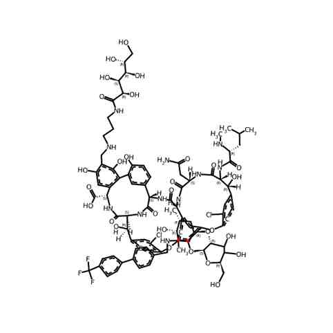 CN[C@H](CC(C)C)C(=O)N[C@H]1C(=O)N[C@@H](CC(N)=O)C(=O)N[C@H]2C(=O)N[C@@H]3C(=O)N[C@H](C(=O)N[C@H](C(=O)O)c4cc(O)c(CNCCCNC(=O)[C@H](O)[C@@H](O)[C@H](O)[C@H](O)CO)c(O)c4-c4cc3ccc4O)[C@H](O)c3ccc(c(Cl)c3)Oc3cc2cc(c3O[C@@H]2O[C@H](CO)C(O)C(O)[C@H]2O[C@@H]2C[C@@H](C)[C@@H](O)C(C)(NCc3ccc(-c4ccc(C(F)(F)F)cc4)cc3)C2)Oc2ccc(cc2Cl)[C@H]1O